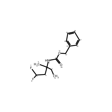 CCC(C)(CC(F)F)NC(=O)OCc1ccccc1